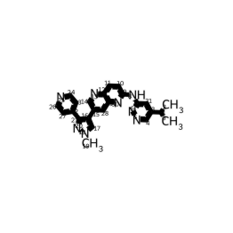 CC(C)c1cnnc(Nc2ccc3ncc(-c4cn(C)nc4-c4ccncc4)cc3n2)c1